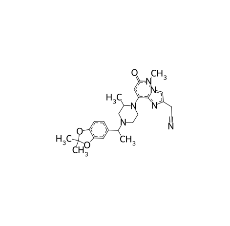 CC(c1ccc2c(c1)OC(C)(C)O2)N1CCN(c2cc(=O)n(C)n3cc(CC#N)nc23)C(C)C1